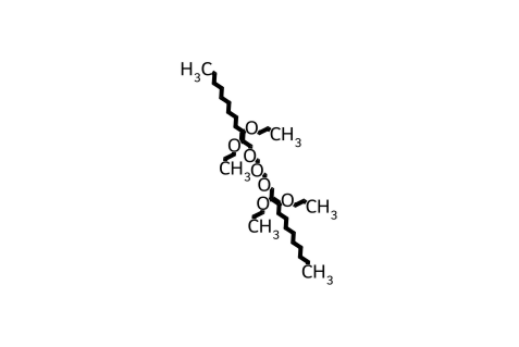 CCCCCCCCCC(OCCC)=C(COCOCOCC(OCCC)=C(CCCCCCCCC)OCCC)OCCC